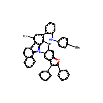 CC(C)(C)c1ccc(Nc2ccccc2-c2cc(C(C)(C)C)c3c4ccc5ccccc5c4n4c3c2Bc2cc3oc(-c5ccccc5)c(-c5ccccc5)c3cc2-4)cc1